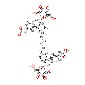 O=C(O)Cc1cccc(-c2cc(CCCCCCc3ccc(C[C@H]4O[C@H](CO)[C@@H](O)[C@H](O)[C@@H]4O)c(-c4cccc(CC(=O)O)c4)c3)ccc2C[C@H]2O[C@H](CO)[C@@H](O)[C@H](O)[C@@H]2O)c1